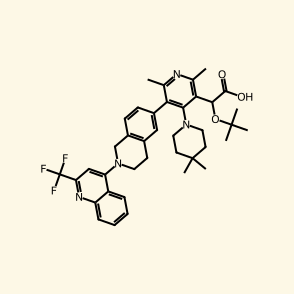 Cc1nc(C)c(C(OC(C)(C)C)C(=O)O)c(N2CCC(C)(C)CC2)c1-c1ccc2c(c1)CCN(c1cc(C(F)(F)F)nc3ccccc13)C2